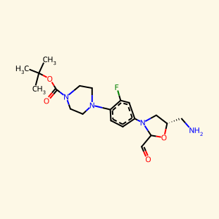 CC(C)(C)OC(=O)N1CCN(c2ccc(N3C[C@H](CN)OC3C=O)cc2F)CC1